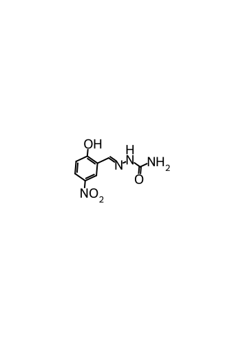 NC(=O)NN=Cc1cc([N+](=O)[O-])ccc1O